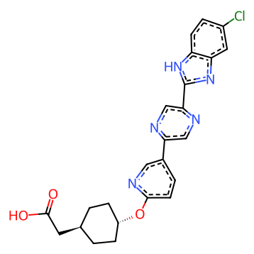 O=C(O)C[C@H]1CC[C@H](Oc2ccc(-c3cnc(-c4nc5cc(Cl)ccc5[nH]4)cn3)cn2)CC1